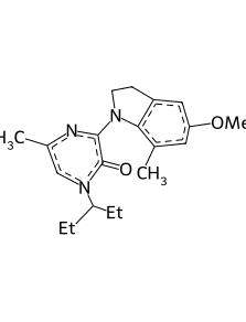 CCC(CC)n1cc(C)nc(N2CCc3cc(OC)cc(C)c32)c1=O